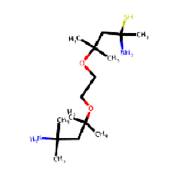 CC(C)(N)CC(C)(C)OCCOC(C)(C)CC(C)(N)S